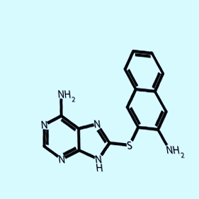 Nc1cc2ccccc2cc1Sc1nc2c(N)ncnc2[nH]1